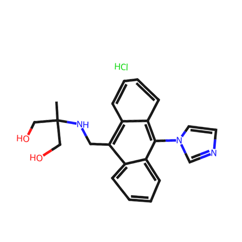 CC(CO)(CO)NCc1c2ccccc2c(-n2ccnc2)c2ccccc12.Cl